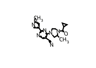 CC1CN(c2nc(-c3cnn(C)c3)ncc2C#N)CCN1C(=O)C1CC1